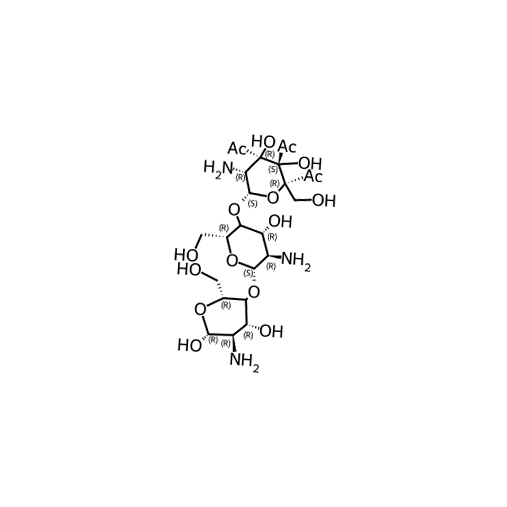 CC(=O)[C@@]1(O)[C@](CO)(C(C)=O)O[C@H](OC2[C@@H](CO)O[C@@H](OC3[C@@H](CO)O[C@@H](O)[C@H](N)[C@H]3O)[C@H](N)[C@H]2O)[C@H](N)[C@]1(O)C(C)=O